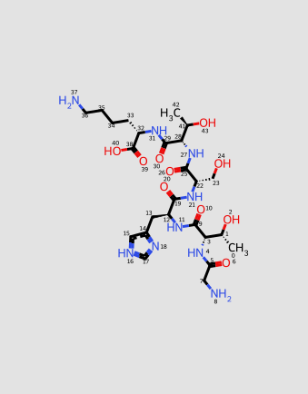 C[C@@H](O)[C@H](NC(=O)CN)C(=O)N[C@@H](Cc1c[nH]cn1)C(=O)N[C@@H](CO)C(=O)N[C@H](C(=O)N[C@@H](CCCCN)C(=O)O)[C@@H](C)O